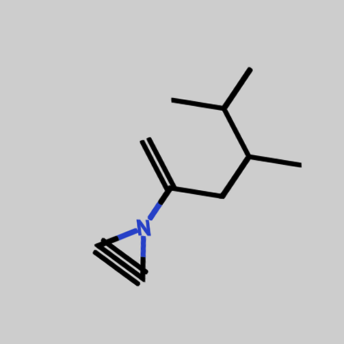 C=C(CC(C)C(C)C)N1C#C1